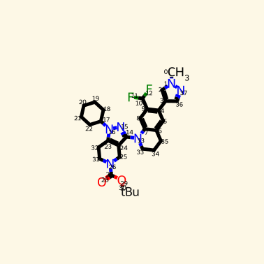 Cn1cc(-c2cc3c(cc2C(F)F)N(c2nn(C4CCCCC4)c4c2CN(C(=O)OC(C)(C)C)CC4)CCC3)cn1